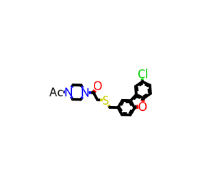 CC(=O)N1CCN(C(=O)CSCc2ccc3oc4ccc(Cl)cc4c3c2)CC1